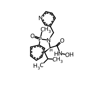 CC(C)C[C@H](C(=O)NO)N(Cc1cccnc1)P(C)(=O)c1ccccc1